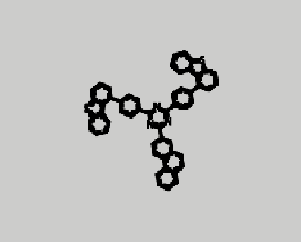 c1ccc2c(c1)ccc1cc(-c3nc(-c4ccc(-c5cccc6sc7ccccc7c56)cc4)nc(-c4ccc(-c5cccc6sc7ccccc7c56)cc4)n3)ccc12